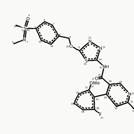 CN=[S@](C)(=O)c1ccc(COc2nnc(NC(=O)c3cnc(C)cc3-c3c(F)cccc3OC)s2)cc1